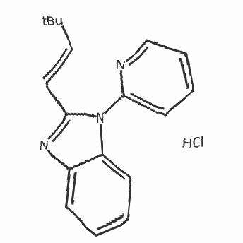 CC(C)(C)C=Cc1nc2ccccc2n1-c1ccccn1.Cl